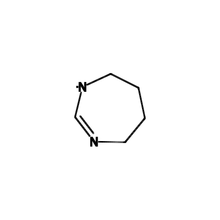 C1=NCCCC[N]1